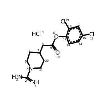 Cl.N=C(N)N1CCC(CC(=O)Oc2ccc(Cl)cc2Cl)CC1